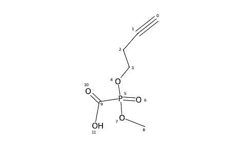 C#CCCOP(=O)(OC)C(=O)O